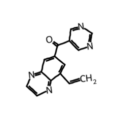 C=Cc1cc(C(=O)c2cncnc2)cc2nccnc12